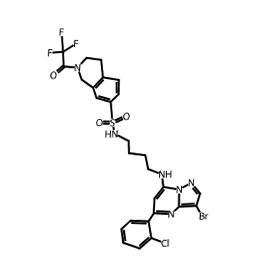 O=C(N1CCc2ccc(S(=O)(=O)NCCCCNc3cc(-c4ccccc4Cl)nc4c(Br)cnn34)cc2C1)C(F)(F)F